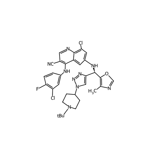 Cc1ncoc1[C@H](Nc1cc(Cl)c2ncc(C#N)c(Nc3ccc(F)c(Cl)c3)c2c1)c1cn(C2CCN(C(C)(C)C)CC2)nn1